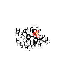 CC1(C)COP(Oc2c(Cc3cc(C(C)(C)C)cc(C(C)(C)C)c3)cc(C(C)(C)C)cc2C(C)(C)C)OC1